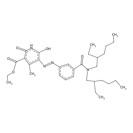 CCCCC(CC)CN(CC(CC)CCCC)C(=O)c1cccc(/N=N/c2c(O)[nH]c(=O)c(C(=O)OCC)c2C)c1